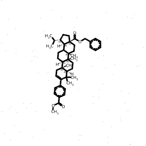 COC(=O)c1ccc(C2=CC[C@]3(C)[C@H]4CCC5[C@H]6[C@H](C(C)C)CC[C@]6(C(=O)OCc6ccccc6)CC[C@@]5(C)[C@]4(C)CC[C@H]3C2(C)C)cc1